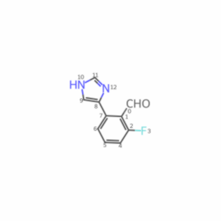 O=Cc1c(F)cccc1-c1c[nH]cn1